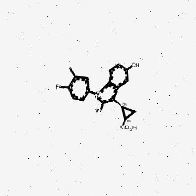 Cc1cc(-n2c(C(C)C)c([C@H]3C[C@H]3C(=O)O)c3cc(O)ccc32)ccc1F